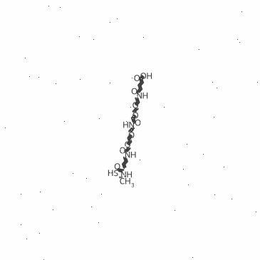 CCN[C@@H](CCCCNC(=O)COCCOCCNC(=O)COCCOCCNC(=O)CCCC(=O)O)C(=O)S